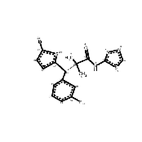 CC(C)(C(=O)Nc1nncs1)[C@H](c1cccc(F)c1)c1ccc(Br)s1